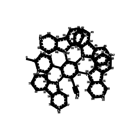 Cc1ccc(-c2c(-n3c4ccccc4c4cnccc43)c(C#N)c(-n3c4ccccc4c4cnccc43)c(-n3c4ccccc4c4cnccc43)c2-n2c3ccccc3c3cnccc32)c(C)n1